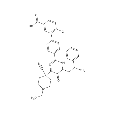 CCN1CCC(C#N)(NC(=O)C(CC(C)c2ccccc2)NC(=O)c2ccc(-c3cc(C(=O)O)ccc3Cl)cc2)CC1